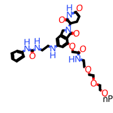 CCCOCCOCCOCCNC(=O)COc1cc(NCCNC(=O)Nc2ccccc2)cc2c1C(=O)N(C1CCC(=O)NC1=O)C2